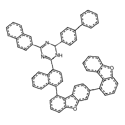 c1ccc(-c2ccc(C3N=C(c4ccc5ccccc5c4)N=C(c4ccc(-c5cccc6oc7cc(-c8cccc9oc%10ccccc%10c89)ccc7c56)c5ccccc45)N3)cc2)cc1